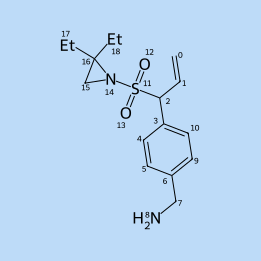 C=CC(c1ccc(CN)cc1)S(=O)(=O)N1CC1(CC)CC